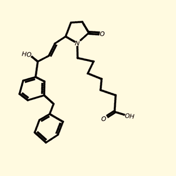 O=C(O)CCCCCCN1C(=O)CCC1C=CC(O)c1cccc(Cc2ccccc2)c1